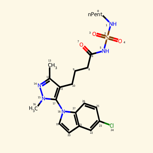 CCCCCNS(=O)(=O)NC(=O)CCCc1c(C)nn(C)c1-n1ccc2cc(Cl)ccc21